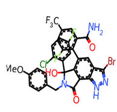 COc1ccc(CN2C(=O)c3c(c(-c4c(F)cc(C(F)(F)F)cc4C(N)=O)cc4c(Br)n[nH]c34)C2(O)c2cc(F)ccc2Cl)cc1